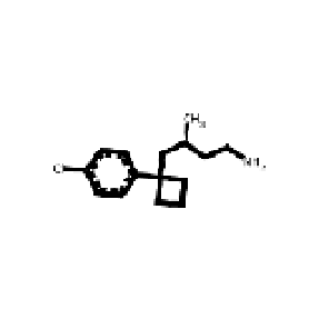 C[C@@H](CCN)CC1(c2ccc(Cl)cc2)CCC1